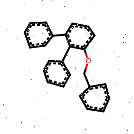 c1ccc(COc2cccc(-c3ccccc3)c2-c2ccccc2)cc1